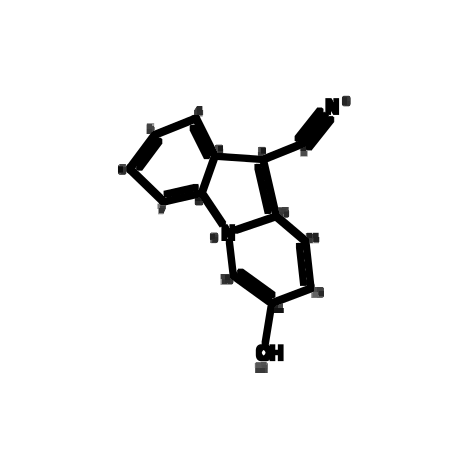 N#Cc1c2ccccc2n2cc(O)ccc12